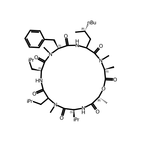 CCCC[C@@H](C)CC1NC(=O)[C@H](Cc2ccccc2)N(C)C(=O)[C@H](CC(C)C)NC(=O)C(CC(C)C)N(C)C(=O)[C@H](C(C)C)NC(=O)[C@@H](C)OC(=O)[C@H](C)N(C)C1=O